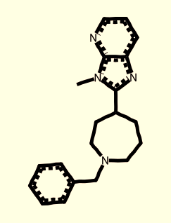 Cn1c(C2CCCN(Cc3ccccc3)CC2)nc2cccnc21